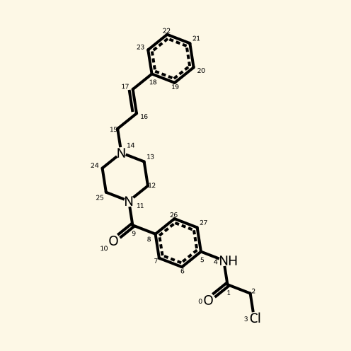 O=C(CCl)Nc1ccc(C(=O)N2CCN(CC=Cc3ccccc3)CC2)cc1